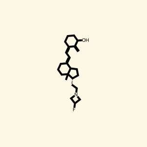 C=C1/C(=C\C=C2/CCCC3(C)C2CC[C@@H]3CCN2CC(F)C2)CCCC1O